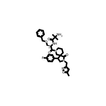 Cc1cc(CN2CC(c3ccc(F)cc3)C3(CCCN(C(=O)[C@@H](COCc4ccccc4)NC(=O)C(C)(C)N)C3)C2=O)no1